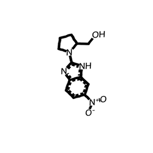 O=[N+]([O-])c1ccc2nc(N3CCCC3CO)[nH]c2c1